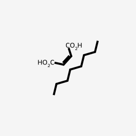 CCCCCCCC.O=C(O)/C=C\C(=O)O